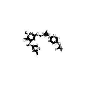 Cc1ncc(N(C)c2cc(OC[C@H]3C[C@@H]3c3ccc(OC(F)F)cn3)nn(C)c2=O)s1